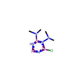 CN(C)n1p(Cl)np[nH]p1N(C)C